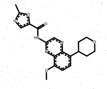 COc1ccc(C2CCOCC2)c2ncc(NC(=O)c3cnc(C)o3)nc12